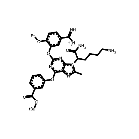 CCOc1ccc(C(=N)N)cc1Oc1nc(Oc2cccc(C(=O)OC(C)(C)C)c2)c2nc(C)n(C(CCCCN)C(N)=O)c2n1